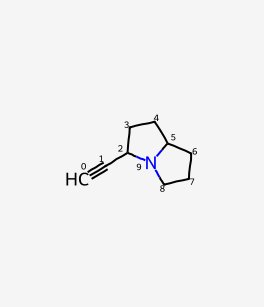 C#CC1CCC2CCCN12